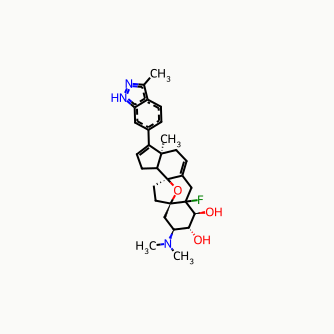 Cc1n[nH]c2cc(C3=CCC4[C@]3(C)CC=C3CC5(F)[C@@H](O)[C@H](O)[C@@H](N(C)C)C[C@]56CC[C@@]34O6)ccc12